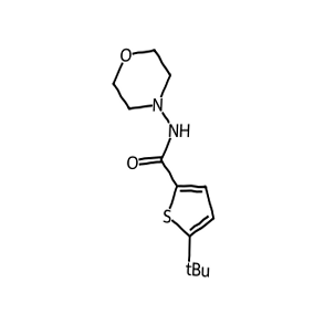 CC(C)(C)c1ccc(C(=O)NN2CCOCC2)s1